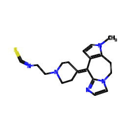 Cn1ccc2c1CCn1ccnc1C2=C1CCN(CCN=C=S)CC1